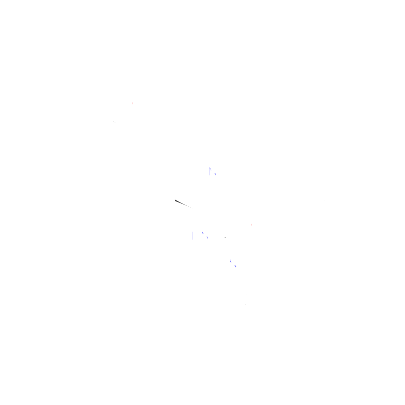 CCC(=O)CCCCC[C@H](NC(=O)[N+]12CCC(CC1)CC2)c1cc(-c2ccccc2)ccn1